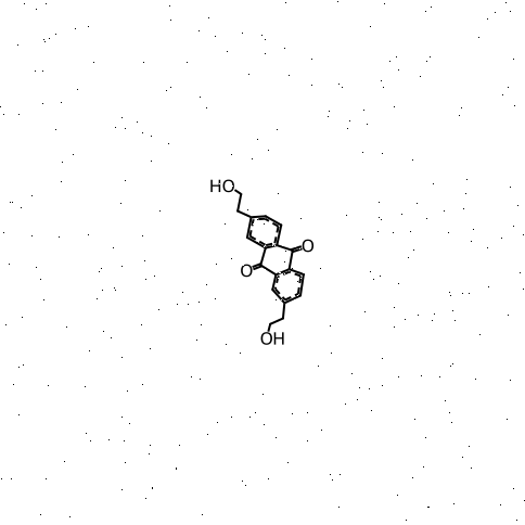 O=C1c2ccc(CCO)cc2C(=O)c2cc(CCO)ccc21